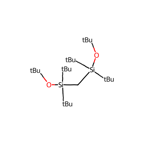 CC(C)(C)O[Si](C[Si](OC(C)(C)C)(C(C)(C)C)C(C)(C)C)(C(C)(C)C)C(C)(C)C